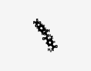 NC(=O)c1ccc(C(=O)Nc2nc3cc4c(cc3[nH]2)OC(F)(F)O4)c(F)c1